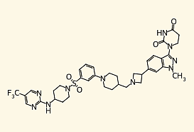 Cn1nc(N2CCC(=O)NC2=O)c2ccc(C3CN(CC4CCN(c5cccc(S(=O)(=O)N6CCC(Nc7ncc(C(F)(F)F)cn7)CC6)c5)CC4)C3)cc21